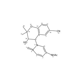 CC(=O)Nc1ccc(=O)n(C2c3cc(C#N)ccc3OC(C)(C)C2O)c1